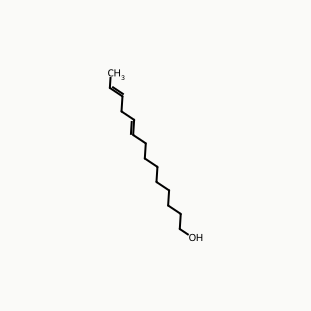 CC=CC/C=C/CCCCCCCCO